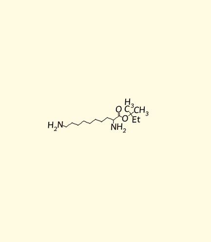 CCC(C)(C)OC(=O)C(N)CCCCCCCCN